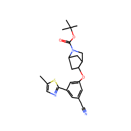 Cc1cnc(-c2cc(C#N)cc(OC3CC4CC3CN4C(=O)OC(C)(C)C)c2)s1